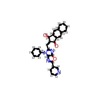 O=C1C(=Cc2nc3oc(-c4cccnc4)nc3n2-c2ccccc2)C(=O)c2cc3ccccc3cc21